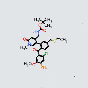 CCSCc1ccc(C(=O)c2cc(OC)c(P)cc2Cl)c(-c2cn(C)c(=O)cc2CNC(=O)OC(C)(C)C)c1